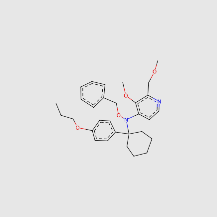 CCCOc1ccc(C2(N(OCc3ccccc3)c3ccnc(COC)c3OC)CCCCC2)cc1